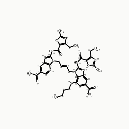 CCc1nc(C)oc1C(=O)Nc1nc2cc(C(N)=O)cnc2n1CC=CCn1c(NC(=O)c2oc(C)nc2CC)nc2cc(C(N)=O)cc(OCCCN)c21